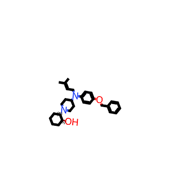 CC(C)=CCN(c1ccc(OCc2ccccc2)cc1)C1CCN([C@H]2CCCC[C@@H]2O)CC1